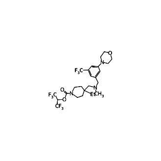 CCC1(CN(C)Cc2cc(N3CCOCC3)cc(C(F)(F)F)c2)CCN(C(=O)OC(C(F)(F)F)C(F)(F)F)CC1